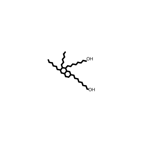 CCCCCCC1CC2CCC(CCCCCCCCO)CC2C(CCCCCCCCO)C1CCCCCC